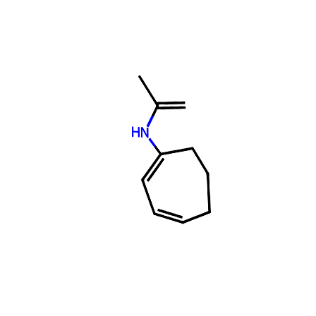 C=C(C)NC1=CC=CCCC1